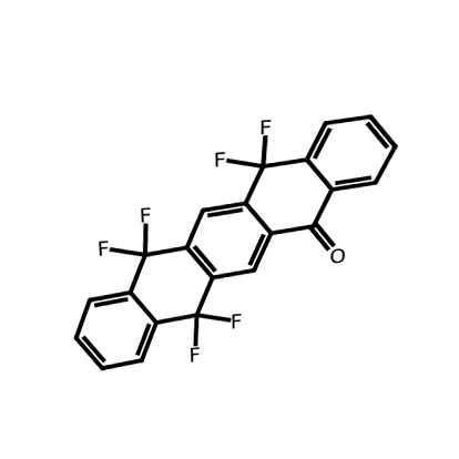 O=C1c2ccccc2C(F)(F)c2cc3c(cc21)C(F)(F)c1ccccc1C3(F)F